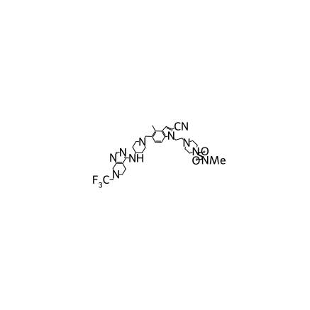 CNS(=O)(=O)N1CCN(CCn2c(C#N)cc3c(C)c(CN4CCC(Nc5ncnc6c5CCN(CC(F)(F)F)C6)CC4)ccc32)CC1